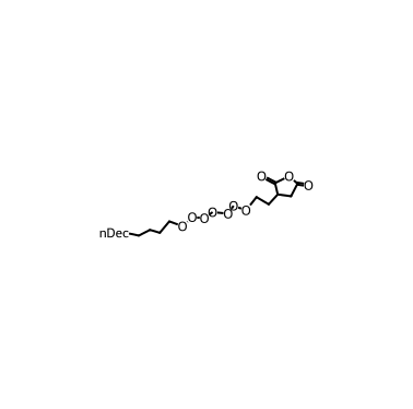 CCCCCCCCCCCCCCOOOOOOOCCC1CC(=O)OC1=O